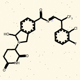 O=C1CCC(N2Cc3cc(C(=O)/N=C/C(c4cccc(F)c4Cl)C(F)(F)F)ccc3C2O)C(=O)N1